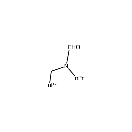 CCCCN(C=O)CCC